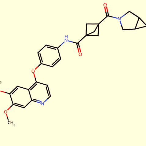 COc1cc2nccc(Oc3ccc(NC(=O)C45CC(C(=O)N6CC7CC7C6)(C4)C5)cc3)c2cc1OC